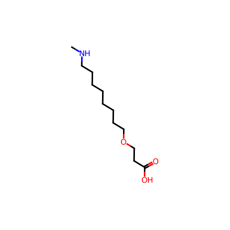 CNCCCCCCCCOCCC(=O)O